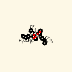 CC1(C)c2ccccc2-c2cc3c(cc21)c1ccccc1n3-c1ccc(C(F)(F)F)cc1-c1nc(-c2ccccc2)nc(-c2cc(C(F)(F)F)ccc2-n2c3ccccc3c3cc4c(cc32)-c2ccccc2C4(C)C)n1